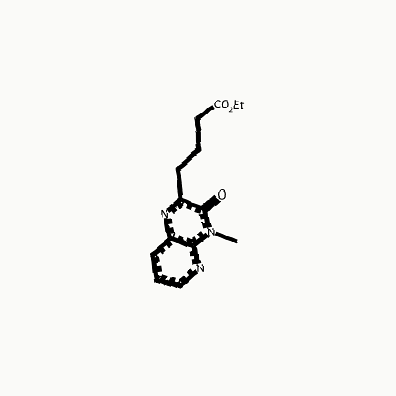 CCOC(=O)CCCc1nc2cccnc2n(C)c1=O